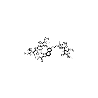 N=C(NCCCCc1ccc2cc(CC(NCN(CC(O)C(O)C(O)C(O)CO)CC(O)C(O)C(O)C(O)CO)C(N)=O)ccc2c1)NC(=O)c1nc(Cl)c(N)nc1N